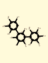 Cc1c(F)c(-c2cc(F)c(F)c(F)c2F)c(F)c(-c2c(F)c(F)c(F)c(F)c2F)c1F